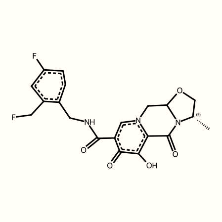 C[C@H]1COC2Cn3cc(C(=O)NCc4ccc(F)cc4CF)c(=O)c(O)c3C(=O)N21